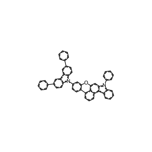 c1ccc(-c2ccc3c(c2)c2cc(-c4ccccc4)ccc2n3-c2ccc3c(c2)Oc2cc4c(c5cccc-3c25)c2ccccc2n4-c2ccccc2)cc1